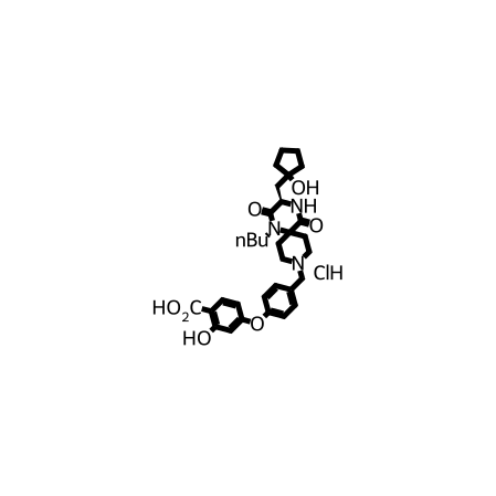 CCCCN1C(=O)[C@@H](CC2(O)CCCC2)NC(=O)C12CCN(Cc1ccc(Oc3ccc(C(=O)O)c(O)c3)cc1)CC2.Cl